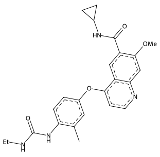 CCNC(=O)Nc1ccc(Oc2ccnc3cc(OC)c(C(=O)NC4CC4)cc23)cc1C